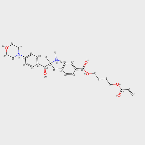 C=CC(=O)OCCCCOC(=O)c1ccc(CC(C)(C(=O)c2ccc(N3CCOCC3)cc2)N(C)C)cc1